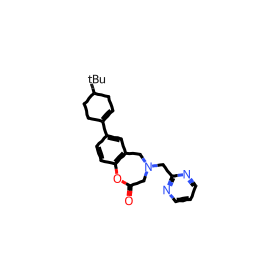 CC(C)(C)C1CC=C(c2ccc3c(c2)CN(Cc2ncccn2)CC(=O)O3)CC1